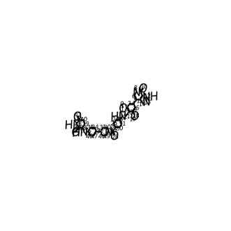 COc1cc(-c2cn(C)c(=O)c3[nH]ncc23)cc(OC)c1CNc1ccc(C(=O)N2CCC(c3ccc(NC4CCC(=O)NC4=O)cc3)CC2)cc1